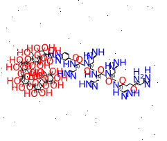 N[C@@H](Cc1c[nH]cn1)C(=O)CCC(=O)[C@H](Cc1c[nH]cn1)NCC(=O)[C@H](Cc1c[nH]cn1)NCC(=O)[C@H](Cc1c[nH]cn1)NCC(=O)[C@H](Cc1c[nH]cn1)NCC(=O)[C@H](Cc1c[nH]cn1)NC(=O)c1ccc2[nH]c(C(O)[C@@H](O)[C@H](O[C@H]3OC(CO)[C@@H](O[C@H]4OC(CO)[C@@H](O[C@H]5OC(CO)[C@@H](O[C@H]6OC(CO)[C@@H](O[C@H]7OC(CO)[C@@H](O)C(O)[C@@H]7O)C(O)[C@@H]6O)C(O)[C@@H]5O)C(O)[C@@H]4O)C(O)[C@@H]3O)C(O)CO)nc2c1